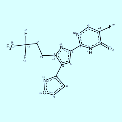 O=c1[nH]c(-c2cc(-c3ccon3)n(CCC(F)(F)C(F)(F)F)n2)ncc1F